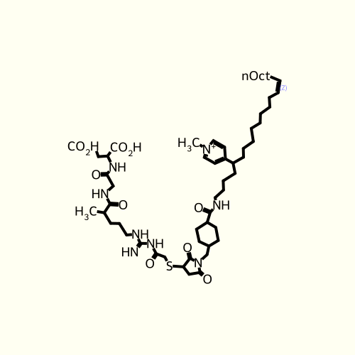 CCCCCCCC/C=C\CCCCCCCCC(CCCCNC(=O)C1CCC(CN2C(=O)CC(SCC(=O)NC(=N)NCCCC(C)C(=O)NCC(=O)NC(CC(=O)O)C(=O)O)C2=O)CC1)c1cc[n+](C)cc1